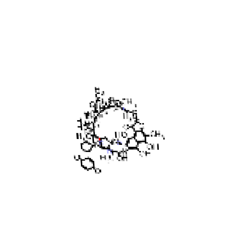 CO[C@H]1/C=C/O[C@@]2(C)Oc3c(C)c(O)c4c(O)c(c(/C=N/N5CCN(C6CCCC6)CC5)c(O)c4c3C2=O)NC(=O)/C(C)=C\C=C\[C@H](C)[C@H](O)[C@@H](C)[C@@H](O)[C@@H](C)[C@H](OC(C)=O)[C@@H]1C.O=C1C=CC(=O)C=C1